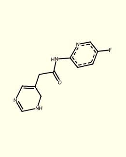 O=C(CC1=CN=CNC1)Nc1ccc(F)cn1